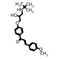 COc1ccc(C=CC(=O)c2ccc(OCC(O)CNC(C)(C)C)cc2)cc1